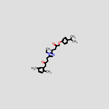 CCn1c(CCC(=O)Cc2cc(C)ccc2C)cnc1CCC(=O)COc1ccc(C(C)C)cc1